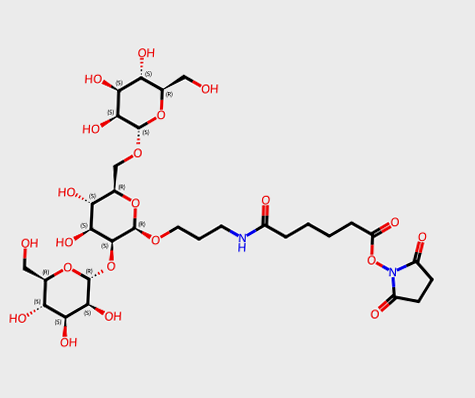 O=C(CCCCC(=O)ON1C(=O)CCC1=O)NCCCO[C@@H]1O[C@H](CO[C@H]2O[C@H](CO)[C@@H](O)[C@H](O)[C@@H]2O)[C@@H](O)[C@H](O)[C@@H]1O[C@H]1O[C@H](CO)[C@@H](O)[C@H](O)[C@@H]1O